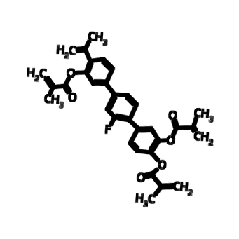 C=C(C)C(=O)Oc1ccc(-c2ccc(-c3ccc(C(=C)C)c(OC(=O)C(=C)C)c3)cc2F)cc1OC(=O)C(=C)C